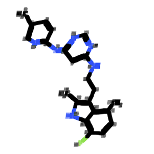 Cc1ccc(Nc2cc(NCCc3c(C)[nH]c4c(F)ccc(C)c34)ncn2)nc1